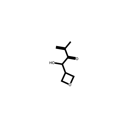 C=C(C)C(=O)C(O)C1COC1